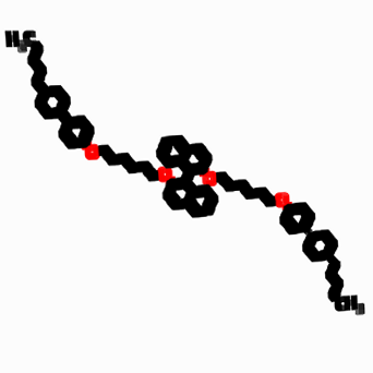 CCCCCC1CCC(c2ccc(OCCCCCCOc3ccc4ccccc4c3-c3c(OCCCCCCOc4ccc([C@H]5CC[C@H](CCCCC)CC5)cc4)ccc4ccccc34)cc2)CC1